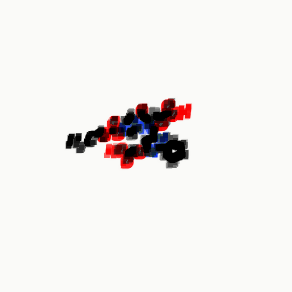 CCOC(=O)ON1CCN(C(=O)[C@H](CCC(=O)O)NC(=O)c2cc(OCC(=O)O)nc(-c3ccccc3)n2)CC1